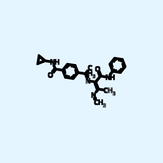 C=N/C(C)=C(\N=C(/C)c1ccc(C(=O)NC2CC2)cc1)C(=O)Nc1ccccc1